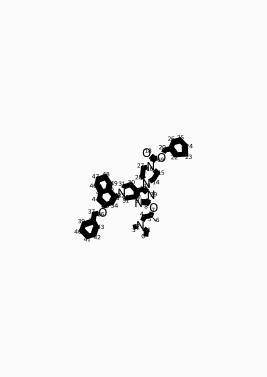 CCN(C)C[C@@H](C)Oc1nc2c(c(N3CCN(C(=O)OCc4ccccc4)CC3)n1)CCN(c1cc(OCc3ccccc3)cc3ccccc13)C2